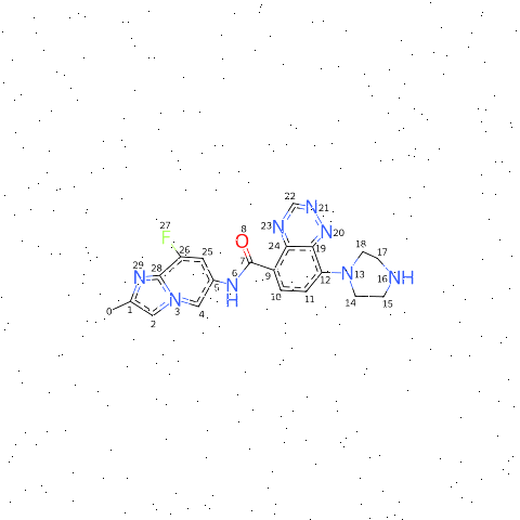 Cc1cn2cc(NC(=O)c3ccc(N4CCNCC4)c4nncnc34)cc(F)c2n1